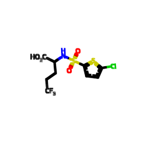 O=C(O)C(CCC(F)(F)F)NS(=O)(=O)c1ccc(Cl)s1